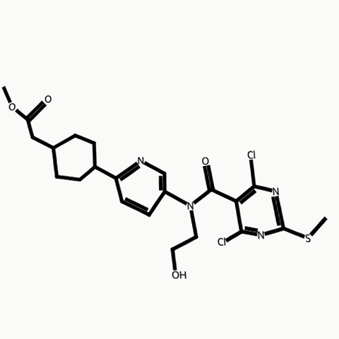 COC(=O)CC1CCC(c2ccc(N(CCO)C(=O)c3c(Cl)nc(SC)nc3Cl)cn2)CC1